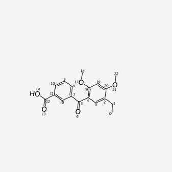 CCc1cc(C(=O)c2cccc(C(=O)O)c2)c(OC)cc1OC